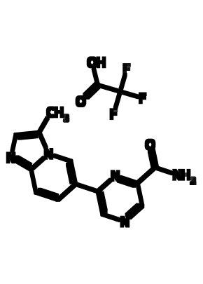 Cc1cnc2ccc(-c3cncc(C(N)=O)n3)cn12.O=C(O)C(F)(F)F